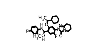 Cc1cc(F)ccc1NC(O)c1cc(F)c(-n2nc3n(c2=O)CCCC3)cc1O[C@@H](C)C1CCCCC1